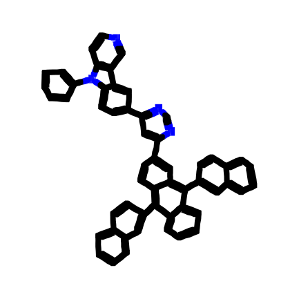 c1ccc(-n2c3ccncc3c3cc(-c4cc(-c5ccc6c(-c7ccc8ccccc8c7)c7ccccc7c(-c7ccc8ccccc8c7)c6c5)ncn4)ccc32)cc1